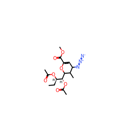 CC[C@@H](OC(C)=O)[C@@H](OC(C)=O)C1OC(C(=O)OC)=CC(N=[N+]=[N-])C1C